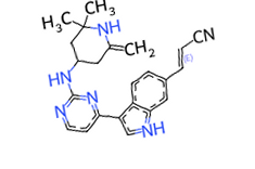 C=C1CC(Nc2nccc(-c3c[nH]c4cc(/C=C/C#N)ccc34)n2)CC(C)(C)N1